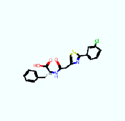 O=C(Cc1csc(-c2cccc(Cl)c2)n1)N[C@H](Cc1ccccc1)C(=O)O